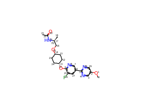 COc1cnc(-c2cnc(O[C@H]3CC[C@H](OC[C@H](C)NC(C)=O)CC3)c(F)c2)nc1